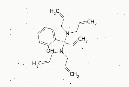 C=CCN(CC=C)C(C=C)(c1ccccc1O)N(CC=C)CC=C